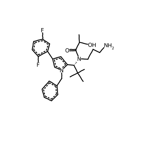 CC(O)C(=O)N(CCCN)[C@@H](c1cc(-c2cc(F)ccc2F)cn1Cc1ccccc1)C(C)(C)C